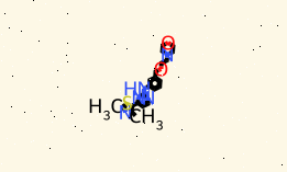 Cc1nc(C)c(-c2ccnc(Nc3cccc(COCCN4CCOCC4)c3)n2)s1